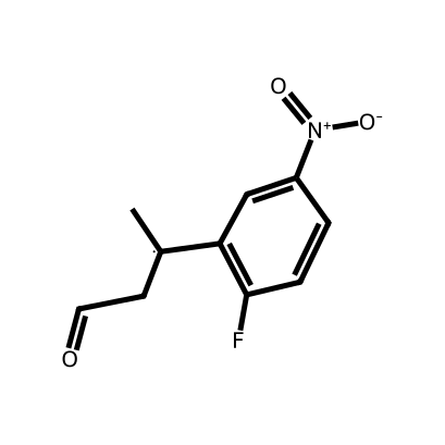 C[C](CC=O)c1cc([N+](=O)[O-])ccc1F